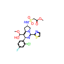 COC(=O)CS(=O)(=O)N[C@H]1CC2=C(C(O)OC)[C@H](c3ccc(F)cc3Cl)N=C(c3nccs3)N2C1